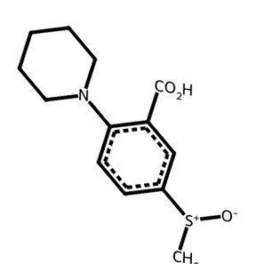 C[S+]([O-])c1ccc(N2CCCCC2)c(C(=O)O)c1